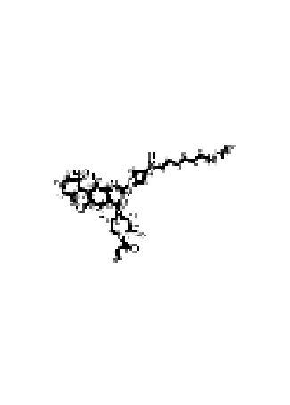 C=CC(=O)N1C[C@H](C)N(c2nc(N3CC(NCCCCCCN=[N+]=[N-])C3)nc3c(F)c(-c4c(O)cccc4F)c(Cl)cc23)C[C@H]1C